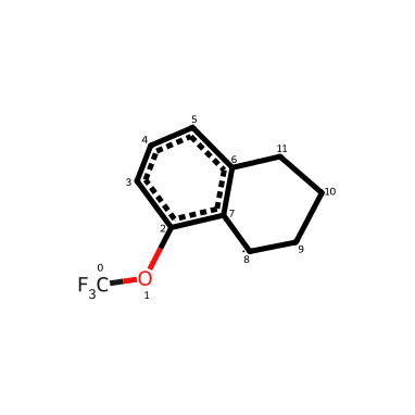 FC(F)(F)Oc1cccc2c1[CH]CCC2